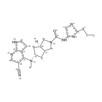 CCSc1nsc(NC(=O)N2CC3C[C@H](N(C)c4c(C#N)cnc5[nH]ccc45)C[C@H]3C2)n1